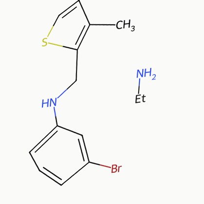 CCN.Cc1ccsc1CNc1cccc(Br)c1